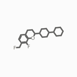 FCc1ccc2c(c1F)OC(C1CCC(C3CCCCC3)CC1)CC2